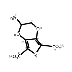 CCCC1COc2c(C(=O)O)sc(C(=O)O)c2O1